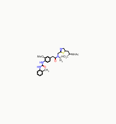 COc1cc(CC(=O)N(C)CC2=NCC(CC(NC(C)=O)C(=O)O)S2)ccc1NC(=O)Nc1ccccc1C